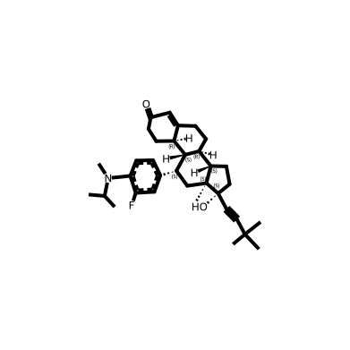 CC(C)N(C)c1ccc([C@H]2C[C@@]3(C)[C@@H](CC[C@@]3(O)C#CC(C)(C)C)[C@@H]3CCC4=CC(=O)CC[C@@H]4[C@H]32)cc1F